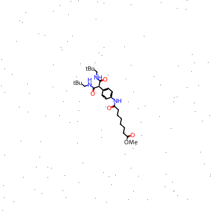 COC(=O)CCCCCCC(=O)Nc1ccc(C(C(=O)NCC(C)(C)C)C(=O)NCC(C)(C)C)cc1